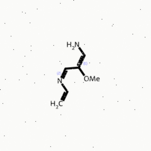 C=C/N=C\C(=C/N)OC